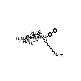 CCCCCCCCCCCCCCCCCCOC[C@H](COP(=O)(O)OC1[C@H]2O[C@@](C)(c3ccc4c(N)ncnn34)[C@H](O)[C@@]12O)OCc1ccc(-c2ccccc2)cc1